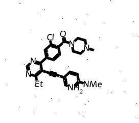 C=C(/C=C\C(C#Cc1c(CC)ncnc1-c1ccc(C(=O)N2CCN(C)CC2)c(Cl)c1)=C/N)NC